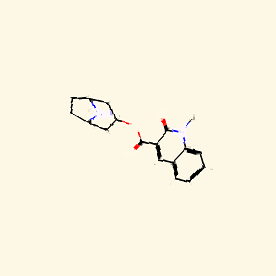 CC(C)n1c(=O)c(C(=O)OC2CC3CCC(C2)N3)cc2ccccc21